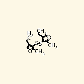 CCc1coc(C)c1SSc1c(CC)coc1C